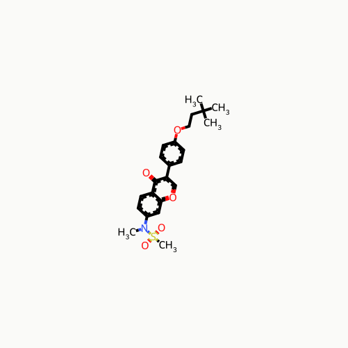 CN(c1ccc2c(=O)c(-c3ccc(OCCC(C)(C)C)cc3)coc2c1)S(C)(=O)=O